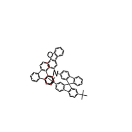 CC(C)(C)c1ccc2c(c1)C1(c3ccccc3-c3ccc(N(c4ccc5oc6ccccc6c5c4)c4ccccc4-c4ccccc4-c4ccccc4-c4ccccc4)cc31)c1cc(C(C)(C)C)ccc1-2